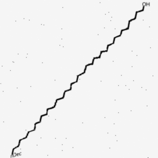 CCCCCCCCCCCCCCCCCCCCCCCCCCCCCCCCCCCCCCCCCCCCCCO